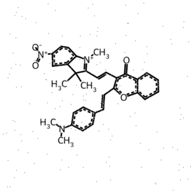 CN(C)c1ccc(/C=C/c2oc3ccccc3c(=O)c2/C=C/C2=[N+](C)c3ccc([N+](=O)[O-])cc3C2(C)C)cc1